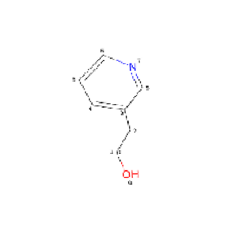 O[C]Cc1cccnc1